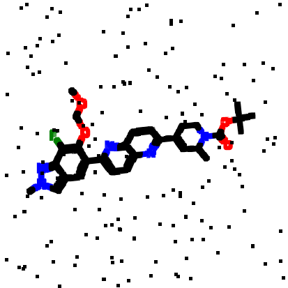 COCOc1c(-c2ccc3nc(C4=CC(C)N(C(=O)OC(C)(C)C)CC4)ccc3n2)cc2cn(C)nc2c1F